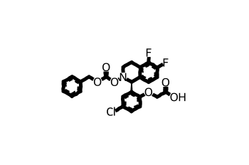 O=C(O)COc1ccc(Cl)cc1[C@@H]1c2ccc(F)c(F)c2CCN1OC(=O)OCc1ccccc1